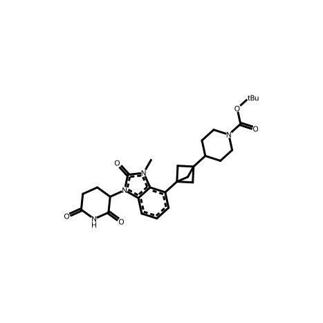 Cn1c(=O)n(C2CCC(=O)NC2=O)c2cccc(C34CC(C5CCN(C(=O)OC(C)(C)C)CC5)(C3)C4)c21